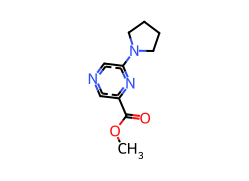 COC(=O)c1cncc(N2CCCC2)n1